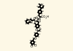 Cc1nccc(-c2ccc(CC(NC(=O)[C@@H]3Cc4cc5c(cc4CN3C(=O)c3cn4ccccc4n3)O[C@@H](c3ccc(OCc4ccc(Cl)c(Cl)c4)cc3)CO5)C(=O)O)cc2)c1C